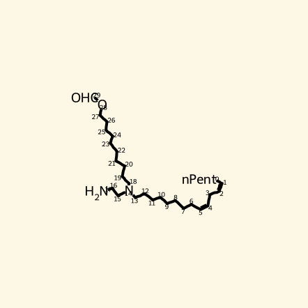 CCCCC/C=C\C/C=C\CCCCCCCCN(CCN)CCCCCCCCCCOC=O